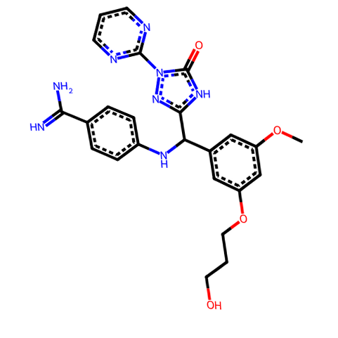 COc1cc(OCCCO)cc(C(Nc2ccc(C(=N)N)cc2)c2nn(-c3ncccn3)c(=O)[nH]2)c1